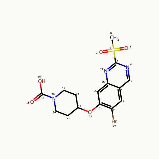 CS(=O)(=O)c1ncc2cc(Br)c(OC3CCN(C(=O)O)CC3)cc2n1